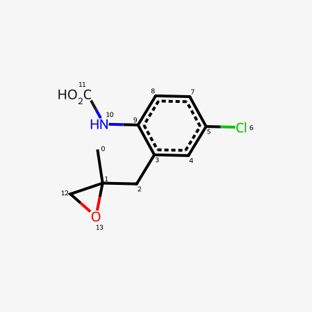 CC1(Cc2cc(Cl)ccc2NC(=O)O)CO1